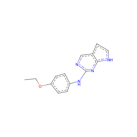 CCOc1ccc(Nc2ncc3cc[nH]c3n2)cc1